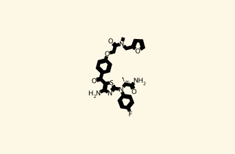 C[C@H](C(N)=O)N(c1ccc(F)cc1)c1nc(N)c(C(=O)c2ccc(OCC(=O)N(C)Cc3ccco3)cc2)s1